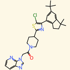 CC(C)(C)c1cc(-c2nc(C3CCN(C(=O)Cn4cnc5cccnc54)CC3)sc2Cl)c2c(c1)C(C)(C)CC2